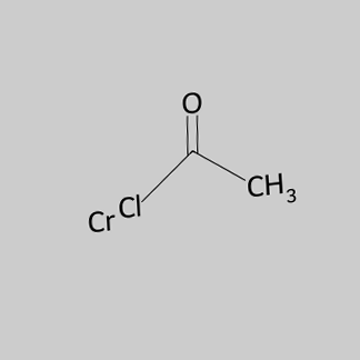 CC(=O)Cl.[Cr]